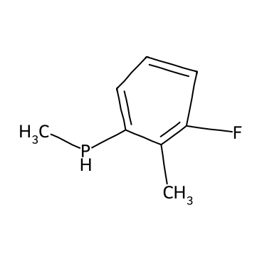 CPc1cccc(F)c1C